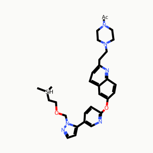 CC(=O)N1CCN(CCc2ccc3cc(Oc4ccc(-c5ccnn5COCC[SiH](C)C)cn4)ccc3n2)CC1